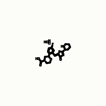 Cl.Cl.O=C1N=C(N2CCCCN2)S/C1=C\c1cc(F)ccc1C1CN(C(=O)O)CCO1